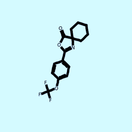 O=C1OC(c2ccc(OC(F)(F)F)cc2)=NC12CCCCC2